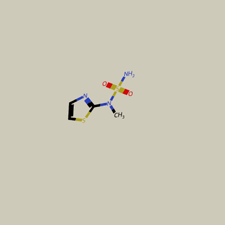 CN(c1nccs1)S(N)(=O)=O